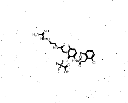 Cc1ccc(NS(=O)(=O)Cc2c(F)cccc2Cl)c(=O)n1CC(=O)NCCONC(=N)N.O=C(O)C(F)(F)F